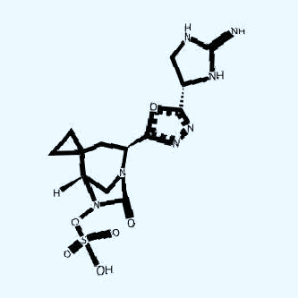 N=C1NC[C@@H](c2nnc([C@@H]3CC4(CC4)[C@@H]4CN3C(=O)N4OS(=O)(=O)O)o2)N1